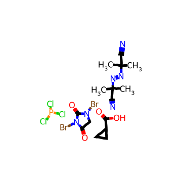 CC(C)(C#N)N=NC(C)(C)C#N.ClP(Cl)Cl.O=C(O)C1CC1.O=C1CN(Br)C(=O)N1Br